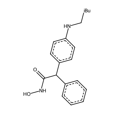 CCC(C)CNc1ccc(C(C(=O)NO)c2ccccc2)cc1